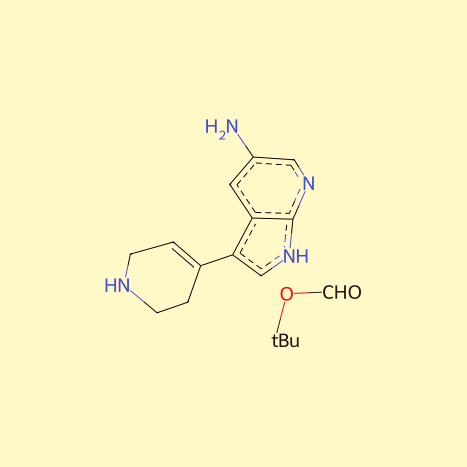 CC(C)(C)OC=O.Nc1cnc2[nH]cc(C3=CCNCC3)c2c1